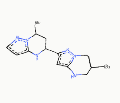 CC(C)(C)C1CNc2cc(C3CC(C(C)(C)C)n4nccc4N3)nn2C1